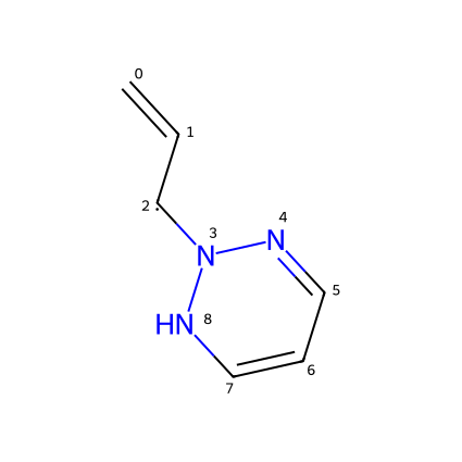 C=C[CH]N1N=CC=CN1